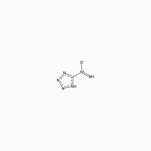 N=[N+]([O-])c1nnn[nH]1